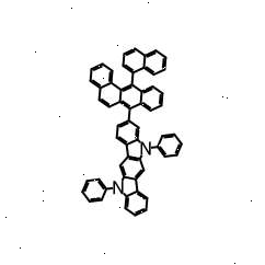 c1ccc(-n2c3ccccc3c3cc4c(cc32)c2ccc(-c3c5ccccc5c(-c5cccc6ccccc56)c5c3ccc3ccccc35)cc2n4-c2ccccc2)cc1